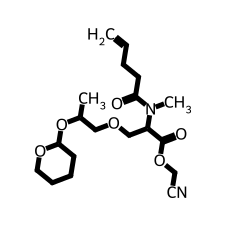 C=CCCC(=O)N(C)C(COCC(C)OC1CCCCO1)C(=O)OCC#N